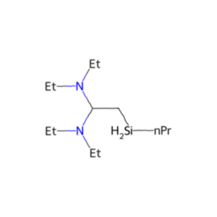 CCC[SiH2]CC(N(CC)CC)N(CC)CC